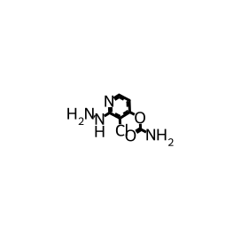 NNc1nccc(OC(N)=O)c1Cl